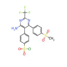 CS(=O)(=O)c1ccc(-c2nc(C(F)(F)F)nc(N)c2-c2ccc(S(=O)(=O)Cl)cc2)cc1